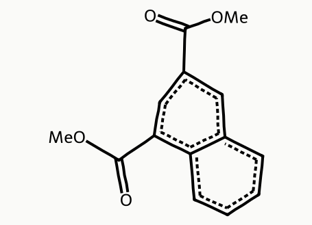 COC(=O)c1cc(C(=O)OC)c2ccccc2c1